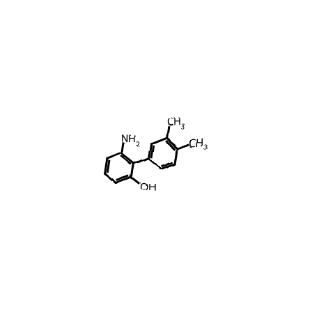 Cc1ccc(-c2c(N)cccc2O)cc1C